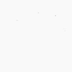 COC(=O)c1ccc(-c2c(C)noc2C)c(O)c1N